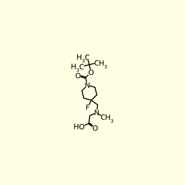 CN(CC(=O)O)CC1(F)CCN(C(=O)OC(C)(C)C)CC1